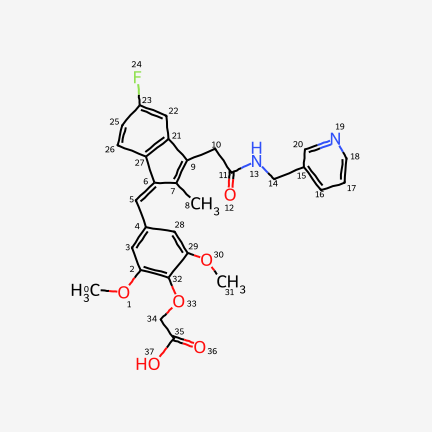 COc1cc(C=C2C(C)=C(CC(=O)NCc3cccnc3)c3cc(F)ccc32)cc(OC)c1OCC(=O)O